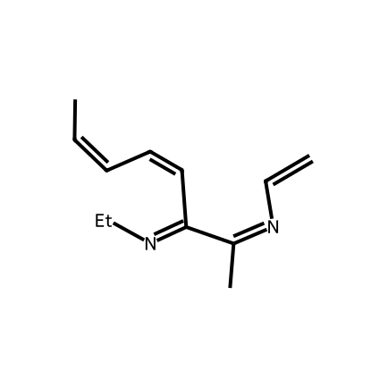 C=C/N=C(/C)C(/C=C\C=C/C)=NCC